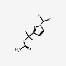 CC(C)(OC(N)=O)c1ccn(C(F)F)n1